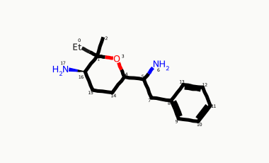 CCC1(C)OC(C(N)Cc2ccccc2)CC[C@H]1N